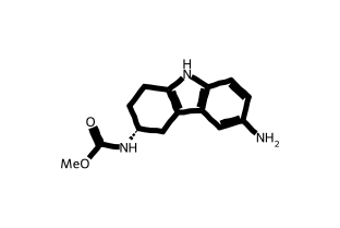 COC(=O)N[C@@H]1CCc2[nH]c3ccc(N)cc3c2C1